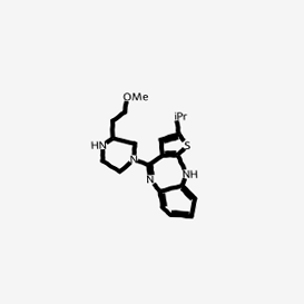 COCCC1CN(C2=Nc3ccccc3Nc3sc(C(C)C)cc32)CCN1